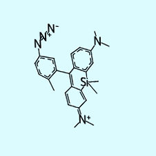 Cc1ccc(N=[N+]=[N-])cc1C1=C2C=CC(=[N+](C)C)C=C2[Si](C)(C)c2cc(N(C)C)ccc21